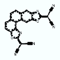 N#CC(C#N)=c1nc2cc3ccc4ccc5oc(=C(C#N)C#N)nc5c4c3cc2o1